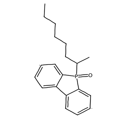 CCCCCCC(C)P1(=O)c2c[c]ccc2-c2cc[c]cc21